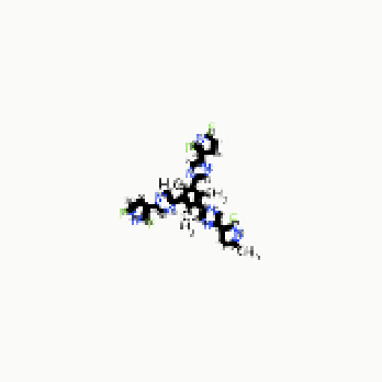 Cc1ccc(-c2cnc(-c3c(C)c(-c4cnc(-c5ccc(F)nc5F)cn4)c(C)c(-c4cnc(-c5ccc(F)nc5F)cn4)c3C)cn2)c(F)n1